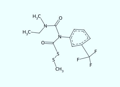 CCN(C)C(=O)N(C(=O)SSC)c1cccc(C(F)(F)F)c1